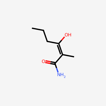 CCCC(O)=C(C)C(N)=O